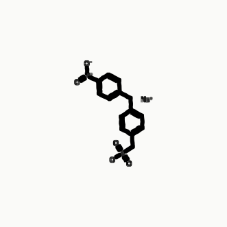 O=[N+]([O-])c1ccc(Cc2ccc(CS(=O)(=O)[O-])cc2)cc1.[Na+]